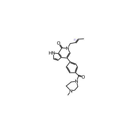 C/C=C/Cn1cc(-c2ccc(C(=O)N3CCN(C)CC3)cc2)c2cc[nH]c2c1=O